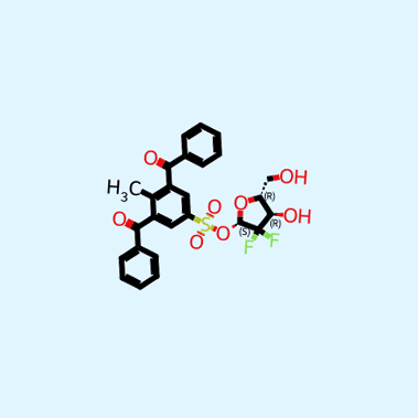 Cc1c(C(=O)c2ccccc2)cc(S(=O)(=O)O[C@@H]2O[C@H](CO)[C@@H](O)C2(F)F)cc1C(=O)c1ccccc1